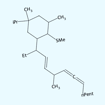 CCCCCC=C=CC(C)C=CC(CC)C1CC(C)(C(C)C)CC(C)C1SC